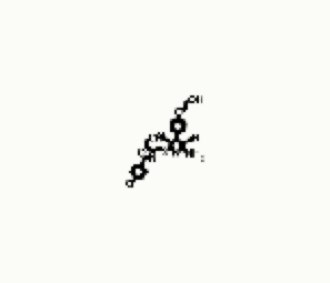 CCc1oc(-c2ccc(Cl)cc2)nc1CSc1nc(N)c(C#N)c(-c2ccc(OCCO)cc2)c1C#N